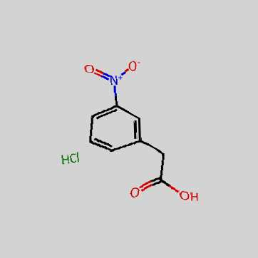 Cl.O=C(O)Cc1cccc([N+](=O)[O-])c1